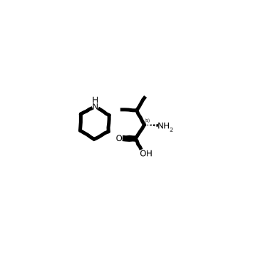 C1CCNCC1.CC(C)[C@H](N)C(=O)O